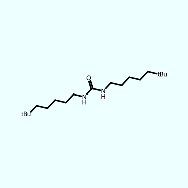 CC(C)(C)CCCCCNC(=O)NCCCCCC(C)(C)C